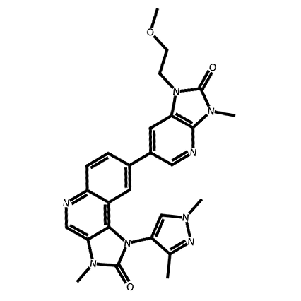 COCCn1c(=O)n(C)c2ncc(-c3ccc4ncc5c(c4c3)n(-c3cn(C)nc3C)c(=O)n5C)cc21